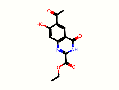 CCOC(=O)c1nc2cc(O)c(C(C)=O)cc2c(=O)[nH]1